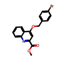 COC(=O)c1cc(OCc2ccc(Br)cc2)c2ccccc2n1